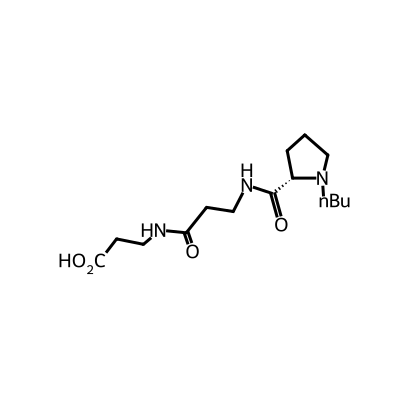 CCCCN1CCC[C@H]1C(=O)NCCC(=O)NCCC(=O)O